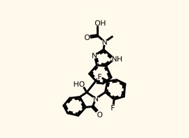 CN(C(=O)O)c1nc2cc(C3(O)c4ccccc4C(=O)N3c3c(F)cccc3F)ccc2[nH]1